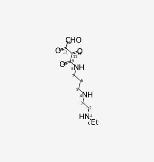 CCNCCNCCCNC(=O)C(=O)C(=O)C=O